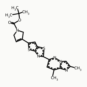 Cc1cn2nc(-c3nc4sc(C5=CCN(C(=O)OC(C)(C)C)C5)cc4s3)cc(C)c2n1